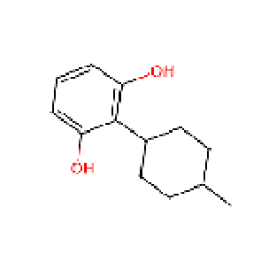 CC1CCC(c2c(O)cccc2O)CC1